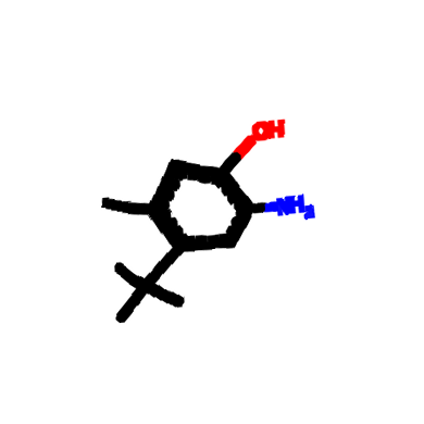 Cc1cc(O)c(N)cc1C(C)(C)C